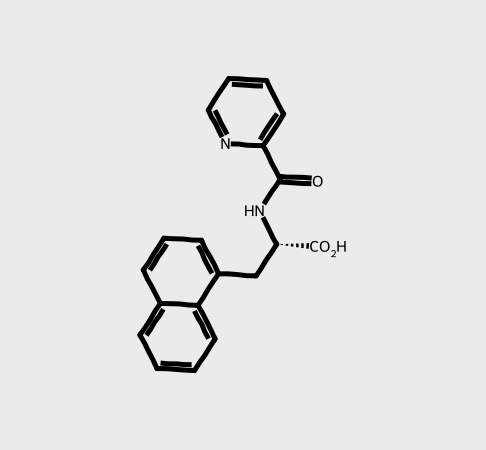 O=C(N[C@@H](Cc1cccc2ccccc12)C(=O)O)c1ccccn1